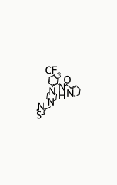 O=C(Nc1cc(C(F)(F)F)ccc1N1CCN(Cc2cscn2)CC1)c1ccccn1